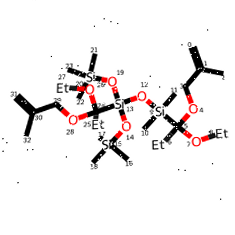 C=C(C)COC(CC)(OCC)[Si](C)(C)O[Si](O[Si](C)(C)C)(O[Si](C)(C)C)C(CC)(OCC)OCC(=C)C